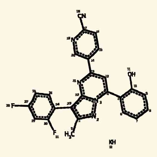 Cc1nn2c(-c3ccccc3O)cc(-c3ccc(C#N)nc3)nc2c1-c1ccc(F)cc1F.[KH]